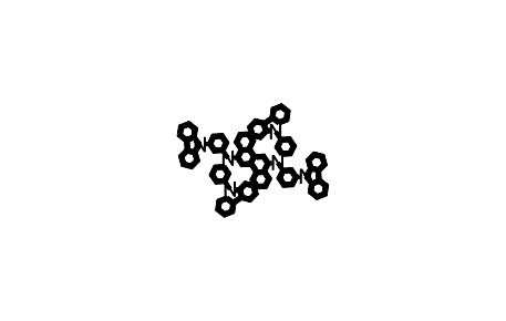 c1cc(N(c2cccc(-n3c4ccccc4c4ccccc43)c2)c2cc3c4ccccc4c(N(c4cccc(-n5c6ccccc6c6ccccc65)c4)c4cccc(-n5c6ccccc6c6ccccc65)c4)cc3c3ccccc23)cc(-n2c3ccccc3c3ccccc32)c1